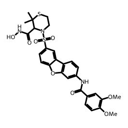 COc1ccc(C(=O)Nc2ccc3c(c2)oc2ccc(S(=O)(=O)N4CCSC(C)(C)C4C(=O)NO)cc23)cc1OC